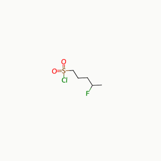 CC(F)CCCS(=O)(=O)Cl